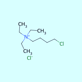 CC[N+](CC)(CC)CCCCCl.[Cl-]